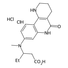 CCC(CC(=O)O)N(C)c1ccc2c3c(c(=O)[nH]c2c1)CCCN3.Cl.Cl